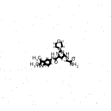 Cc1[nH]c2ccc(NC(=O)c3cc(NCC(N)=O)nc(N4CCOCC4)n3)cc2c1C